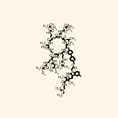 CCN(CC)CCNC(=O)c1c(C)[nH]c(/C=C2\C(=O)N(CC(=O)OCc3ccc(-c4ccc(C[C@H]5NC(=O)C(CCNC(=O)OC(C)(C)C)NC(=O)[C@H](NC(=O)[C@H](CCNC(=O)OC(C)(C)C)NC(=O)C[C@@H](C)O)CCNC(=O)[C@H]([C@@H](C)O)NC(=O)[C@H](CCNC(=O)OC(C)(C)C)NC(=O)[C@H](CCNC(=O)OC(C)(C)C)NC(=O)[C@H](CC(C)C)NC5=O)cc4)cc3)c3ccc(F)cc32)c1C